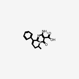 CC1CC=C(c2ccccc2)c2nc(N)c(C(=O)O)c(=O)n21